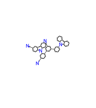 N#Cc1cc(-c2cccc(-n3c4ccccc4c4ccccc43)c2)cc(-c2ccc(C#N)cc2-n2c3ccccc3c3cc(C#N)ccc32)c1